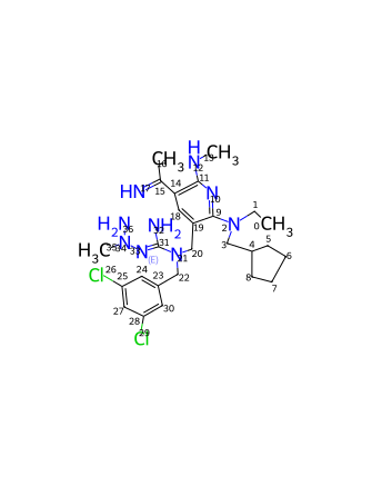 CCN(CC1CCCC1)c1nc(NC)c(C(C)=N)cc1CN(Cc1cc(Cl)cc(Cl)c1)/C(N)=N/N(C)N